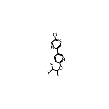 CC(Oc1ccc(-c2cnc(Cl)cn2)cn1)C(F)F